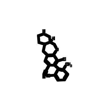 Cc1cccc(O)c1-c1c(C#N)cc2c(c1Cl)OC[C@H]1CNCCN1C2